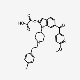 COc1ccc(C(=O)c2ccc3ccn(C4CCN(CCc5ccc(F)cc5)CC4)c3c2)cn1.O=C(O)C(=O)O